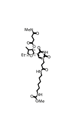 CC[C@H]1O[C@@H](c2cn(CCC(=O)NCCCCCCNC(=O)OC)c(=O)[nH]c2=O)[C@@H](OC(=O)CCC(=O)NC)C1C